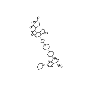 NC(=O)c1ncc(N2CCCCC2)nc1Nc1ccc(C2CCN(C3CC(c4cc5onc(C6CCC(=O)NC6=O)c5c5cc[nH]c45)C3)CC2)cc1